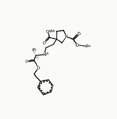 COC(=O)C1(CCN[C@H](C(=O)OCc2ccccc2)C(C)C)CCN(C(=O)OC(C)(C)C)C1